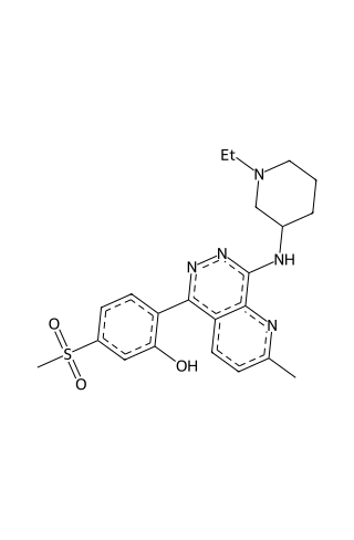 CCN1CCCC(Nc2nnc(-c3ccc(S(C)(=O)=O)cc3O)c3ccc(C)nc23)C1